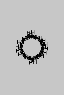 O=C1NCCNCCNCCNC(=O)C(=O)NCCNCCNCCNC(=O)C(=O)NCCNCCNCCNC(=O)C(=O)NCCNCCNCCNC1=O